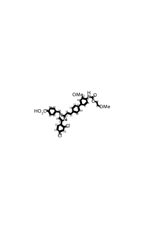 COCCOC(=O)Nc1ccc(-c2ccc(C=Cc3nc(-c4ccc(Cl)cc4Cl)cn3Cc3ccc(C(=O)O)cc3)cc2)cc1OC